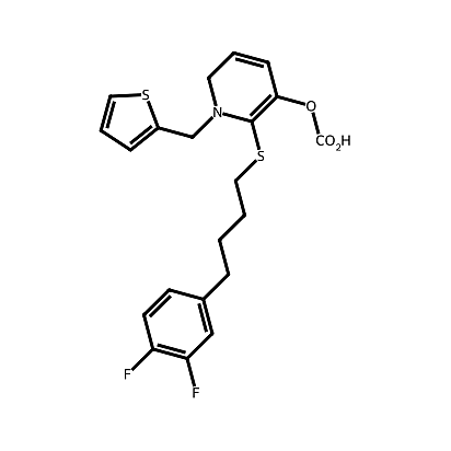 O=C(O)OC1=C(SCCCCc2ccc(F)c(F)c2)N(Cc2cccs2)CC=C1